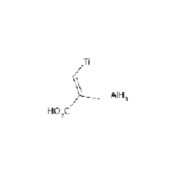 CC(=[CH][Ti])C(=O)O.[AlH3]